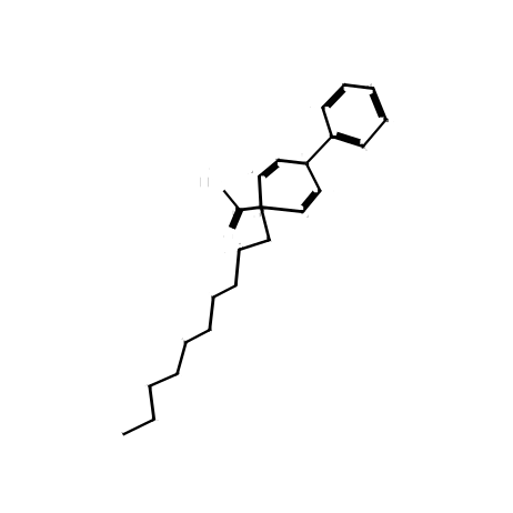 CCCCCCCCCCC1(C(=O)O)C=CC(c2ccccc2)C=C1